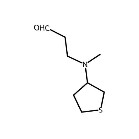 CN(CCC=O)C1CCSC1